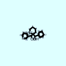 [O-][S+]1CCCCC1(C(O)c1ccccc1)C(O)c1cccnc1